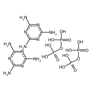 Nc1nc(N)nc(N)n1.Nc1nc(N)nc(N)n1.O=P(O)(O)OP(=O)(O)O.O=P(O)(O)OP(=O)(O)O